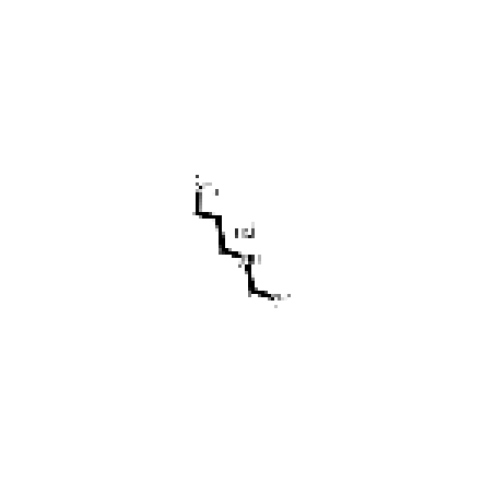 CCCCNCCC[SiH3].Cl